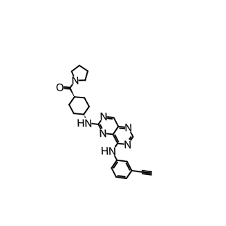 C#Cc1cccc(Nc2ncnc3cnc(N[C@H]4CC[C@H](C(=O)N5CCCC5)CC4)nc23)c1